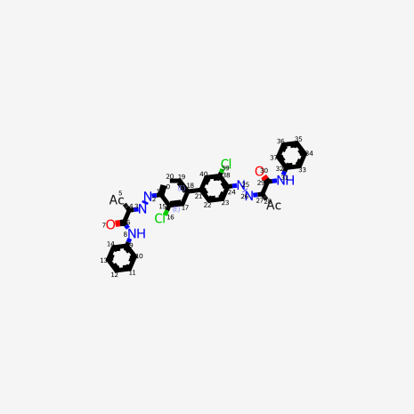 C=C(N=NC(C(C)=O)C(=O)Nc1ccccc1)/C(Cl)=C\C(=C/C)c1ccc(N=NC(C(C)=O)C(=O)Nc2ccccc2)c(Cl)c1